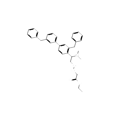 CCOC(=O)COOCC(c1ccc(-c2cccc(Cc3ccccc3)c2)cc1Cc1ccccc1)N(C)C